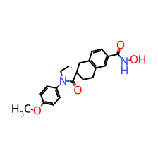 COc1ccc(N2CC[C@]3(CCc4cc(C(=O)NO)ccc4C3)C2=O)cc1